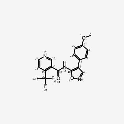 COc1ccc(-c2cnoc2NC(=O)c2cnccc2C(F)(F)F)cc1